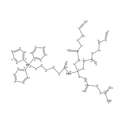 O=COCCC(=O)OCC(COC(=O)CCOC=O)(COC(=O)CCC(=O)O)NC(=O)CCCCC[PH](c1ccccc1)(c1ccccc1)c1ccccc1